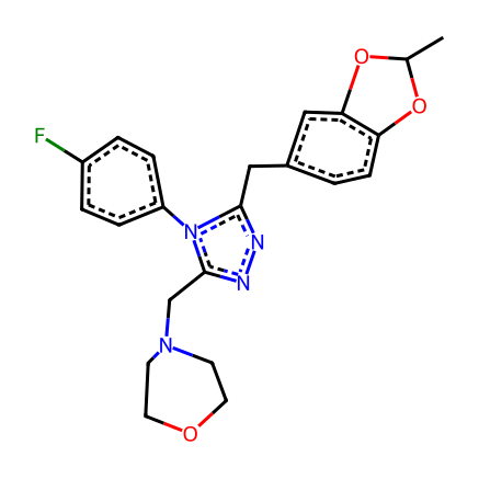 CC1Oc2ccc(Cc3nnc(CN4CCOCC4)n3-c3ccc(F)cc3)cc2O1